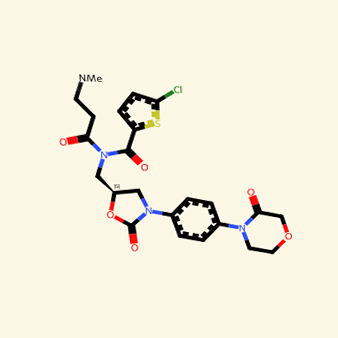 CNCCC(=O)N(C[C@H]1CN(c2ccc(N3CCOCC3=O)cc2)C(=O)O1)C(=O)c1ccc(Cl)s1